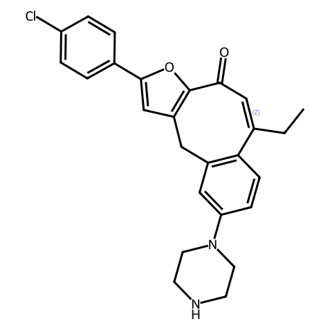 CC/C1=C/C(=O)c2oc(-c3ccc(Cl)cc3)cc2Cc2cc(N3CCNCC3)ccc21